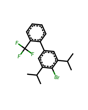 CC(C)c1cc(-c2ccccc2C(F)(F)F)cc(C(C)C)c1Br